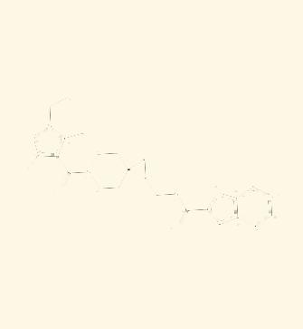 CCn1nc(C)c(C(=O)N2CCC3(CC2)CC3CNC(=O)c2cc3ccncc3o2)c1C